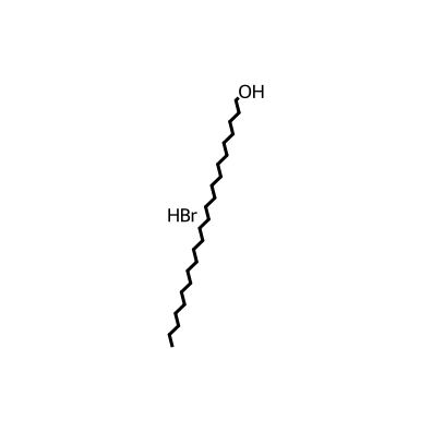 Br.CCCCCCCCCCCCCCCCCCCCCCCCO